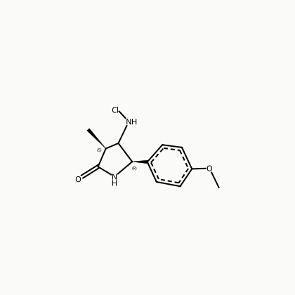 COc1ccc([C@H]2NC(=O)[C@@H](C)C2NCl)cc1